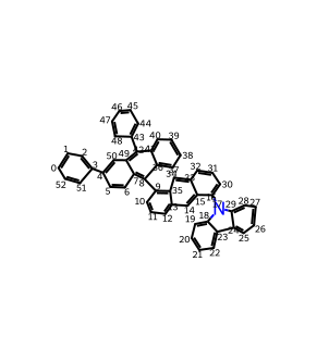 c1ccc(-c2ccc3c(-c4cccc5cc6c(-n7c8ccccc8c8ccccc87)cccc6cc45)c4ccccc4c(-c4ccccc4)c3c2)cc1